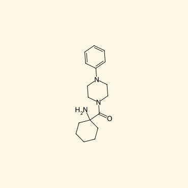 NC1(C(=O)N2CCN(c3ccccc3)CC2)CCCCC1